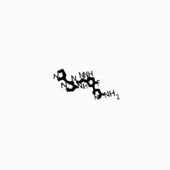 Nc1cncc(-c2cc3c(-c4nc5c(-c6cccnc6)nccc5[nH]4)n[nH]c3cc2F)c1